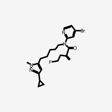 C=C(CCF)C(=O)N(CCCCCc1cc(C2CC2)nn1C)c1cc(Br)ccn1